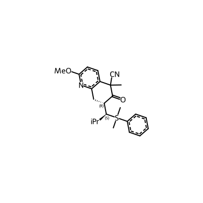 COc1ccc2c(n1)C[C@@H]([C@H](C(C)C)S(C)(C)c1ccccc1)C(=O)C2(C)C#N